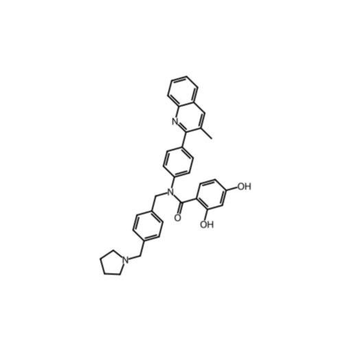 Cc1cc2ccccc2nc1-c1ccc(N(Cc2ccc(CN3CCCC3)cc2)C(=O)c2ccc(O)cc2O)cc1